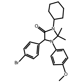 COc1ccc(N2C(c3ccc(Br)cc3)C(=O)N(C3CCCCC3)C2(C)C)cc1